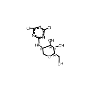 OC[C@H]1OC[C@@H](Nc2nc(Cl)nc(Cl)n2)[C@@H](O)[C@H]1O